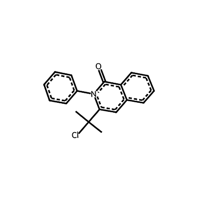 CC(C)(Cl)c1cc2ccccc2c(=O)n1-c1ccccc1